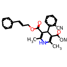 COC(=O)C1=C(C)NC(C)=C(C(=O)OC/C=C/c2ccccc2)C1c1ccccc1C#N